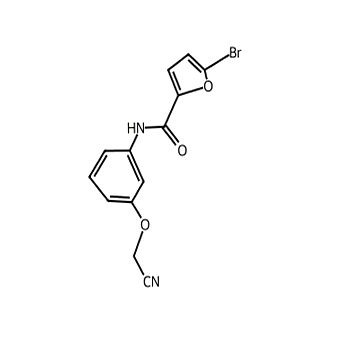 N#CCOc1cccc(NC(=O)c2ccc(Br)o2)c1